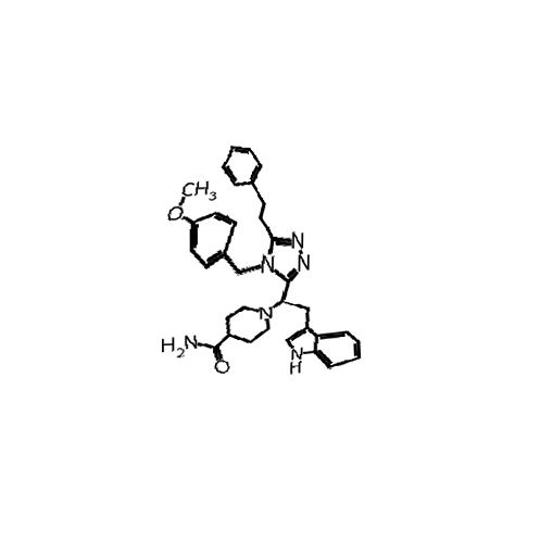 COc1ccc(Cn2c(CCc3ccccc3)nnc2[C@@H](Cc2c[nH]c3ccccc23)N2CCC(C(N)=O)CC2)cc1